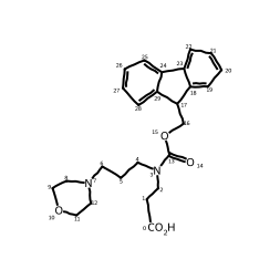 O=C(O)CCN(CCCN1CCOCC1)C(=O)OCC1c2ccccc2-c2ccccc21